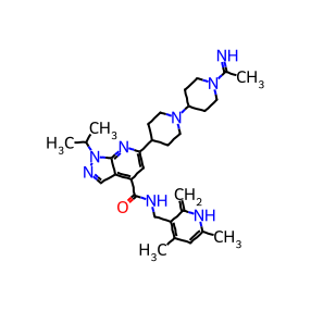 C=C1NC(C)=CC(C)=C1CNC(=O)c1cc(C2CCN(C3CCN(C(C)=N)CC3)CC2)nc2c1cnn2C(C)C